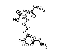 NCC(=O)N[C@@H](CSSC[C@H](NC(=O)CN)C(=O)O)C(=O)O